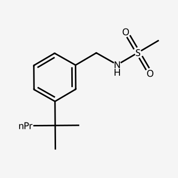 CCCC(C)(C)c1cccc(CNS(C)(=O)=O)c1